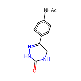 CC(=O)Nc1ccc(C2=NNC(=O)NC2)cc1